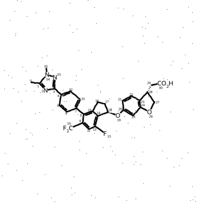 Cc1nc(-c2ccc(-c3c(C(F)(F)F)cc(F)c4c3CC[C@H]4Oc3ccc4c(c3)OC[C@H]4CC(=O)O)cc2)nn1C